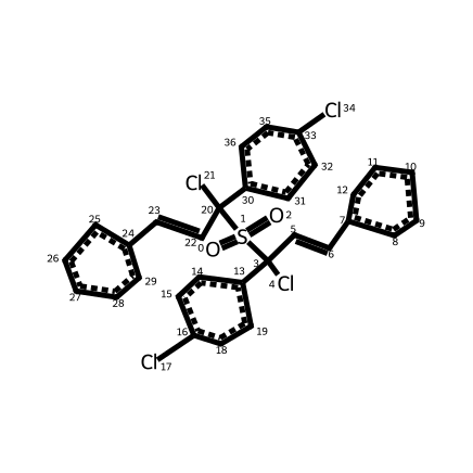 O=S(=O)(C(Cl)(C=Cc1ccccc1)c1ccc(Cl)cc1)C(Cl)(C=Cc1ccccc1)c1ccc(Cl)cc1